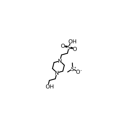 C[S+](C)[O-].O=S(=O)(O)CCN1CCN(CCO)CC1